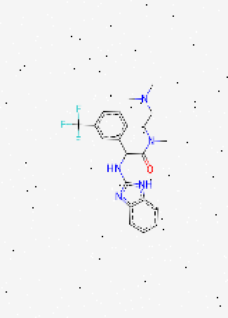 CN(C)CCN(C)C(=O)C(Nc1nc2ccccc2[nH]1)c1cccc(C(F)(F)F)c1